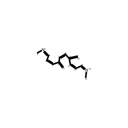 C=C(/C=C\C=N/C)/C=C\C(=C)/C=C\C=N/C